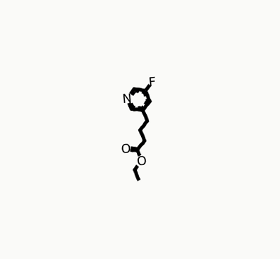 CCOC(=O)CCCc1cncc(F)c1